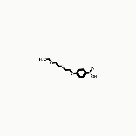 CCOCCOCCOc1ccc(S(=O)O)cc1